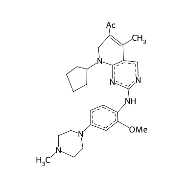 COc1cc(N2CCN(C)CC2)ccc1Nc1ncc2c(n1)N(C1CCCC1)CC(C(C)=O)=C2C